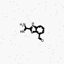 N=C(N)c1nc2c([C]=O)cccc2[nH]1